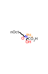 CCCCCCCCCCCC(=O)N(P)C(CO)C(=O)O